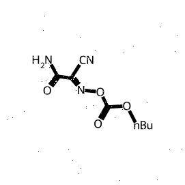 CCCCOC(=O)O/N=C(\C#N)C(N)=O